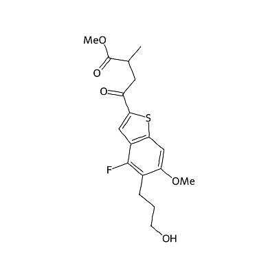 COC(=O)C(C)CC(=O)c1cc2c(F)c(CCCO)c(OC)cc2s1